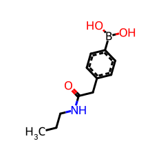 CCCNC(=O)Cc1ccc(B(O)O)cc1